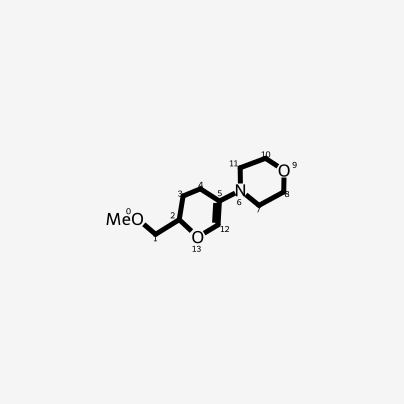 COCC1CCC(N2CCOCC2)=CO1